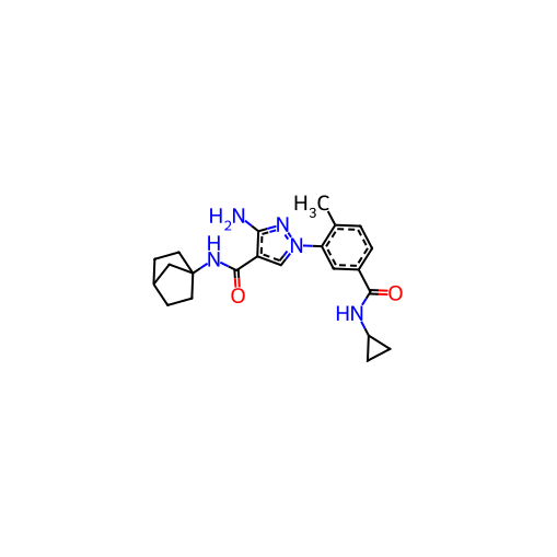 Cc1ccc(C(=O)NC2CC2)cc1-n1cc(C(=O)NC23CCC(CC2)C3)c(N)n1